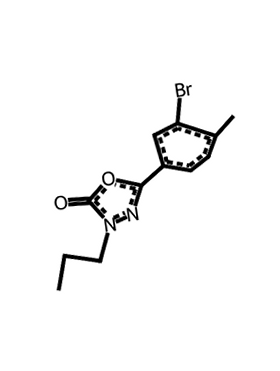 CCCn1nc(-c2ccc(C)c(Br)c2)oc1=O